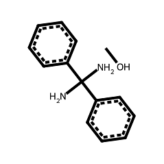 CO.NC(N)(c1ccccc1)c1ccccc1